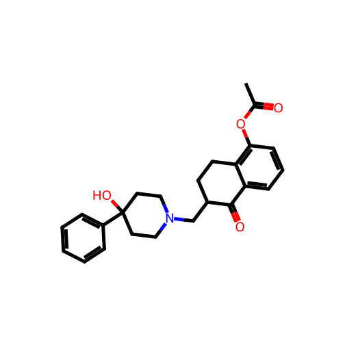 CC(=O)Oc1cccc2c1CCC(CN1CCC(O)(c3ccccc3)CC1)C2=O